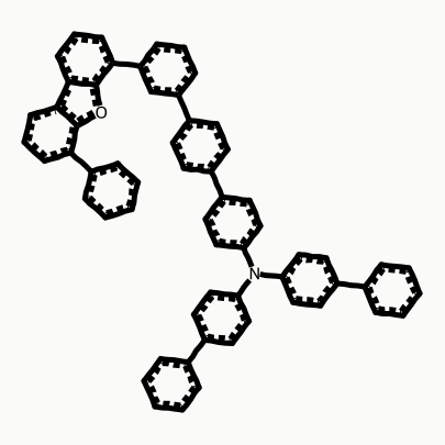 c1ccc(-c2ccc(N(c3ccc(-c4ccccc4)cc3)c3ccc(-c4ccc(-c5cccc(-c6cccc7c6oc6c(-c8ccccc8)cccc67)c5)cc4)cc3)cc2)cc1